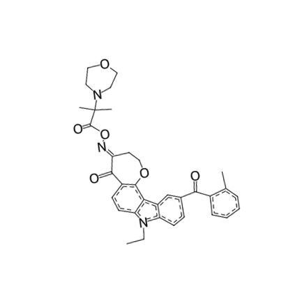 CCn1c2ccc(C(=O)c3ccccc3C)cc2c2c3c(ccc21)C(=O)/C(=N/OC(=O)C(C)(C)N1CCOCC1)CCO3